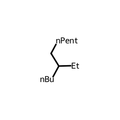 C[CH]CCC(CC)CCCCCC